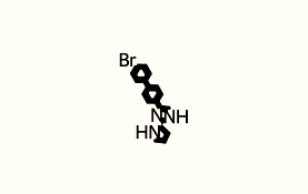 Brc1ccc(-c2ccc(-c3c[nH]c([C@@H]4CCCN4)n3)cc2)cc1